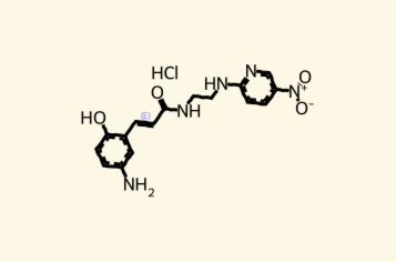 Cl.Nc1ccc(O)c(/C=C/C(=O)NCCNc2ccc([N+](=O)[O-])cn2)c1